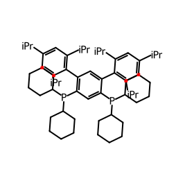 CC(C)c1cc(C(C)C)c(-c2cc(-c3c(C(C)C)cc(C(C)C)cc3C(C)C)c(P(C3CCCCC3)C3CCCCC3)cc2P(C2CCCCC2)C2CCCCC2)c(C(C)C)c1